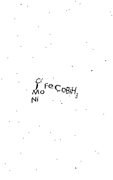 [BiH3].[Co].[Cr][Mo].[Fe].[Ni]